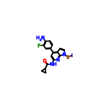 Nc1ccc(-c2cc(NC(=O)C3CC3)nc3c2ccn3SI)cc1F